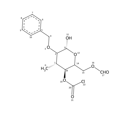 C[C@@H]1C(OCc2ccccc2)[C@H](O)OC(COC=O)[C@H]1OC(=O)Cl